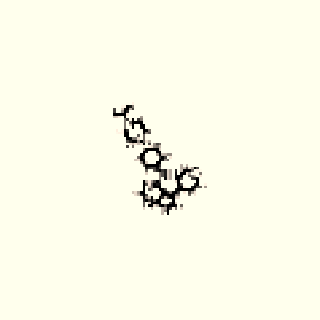 CC(C)N1CCN([C@H]2CC[C@@H](NC3=NC=NC4N=CC(C5CCOCC5)=C34)CC2)CC1